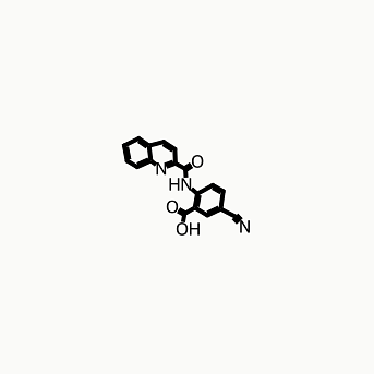 N#Cc1ccc(NC(=O)c2ccc3ccccc3n2)c(C(=O)O)c1